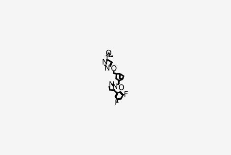 CP(C)(=O)c1cc(OCC2CC(C(=O)N3N=CCC3c3cc(F)cc(F)c3)C3CC2C3)ncn1